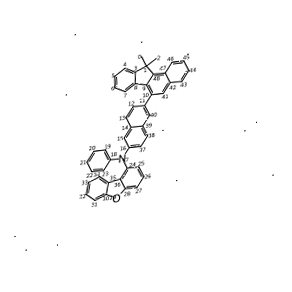 CC1(C)c2ccccc2-c2c(-c3ccc4cc(N(c5ccccc5)c5cccc6oc7ccccc7c56)ccc4c3)cc3ccccc3c21